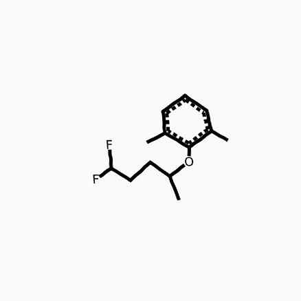 Cc1cccc(C)c1OC(C)CCC(F)F